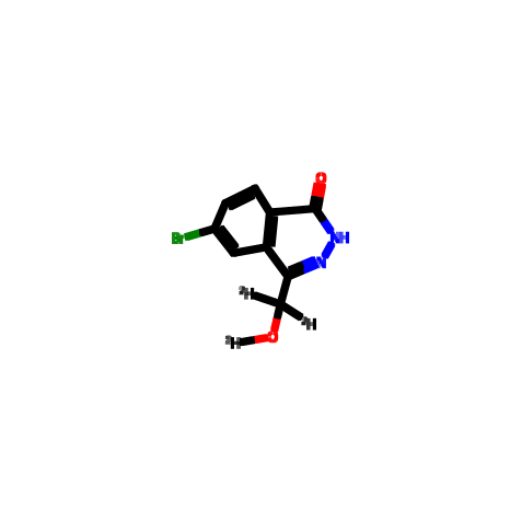 [2H]OC([2H])([2H])c1n[nH]c(=O)c2ccc(Br)cc12